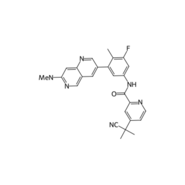 CNc1cc2ncc(-c3cc(NC(=O)c4cc(C(C)(C)C#N)ccn4)cc(F)c3C)cc2cn1